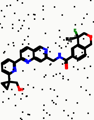 C[C@@]1(F)COCc2ccc(C(=O)NCc3cc4nc(-c5cccc(C6(CO)CC6)n5)ccc4cn3)cc21